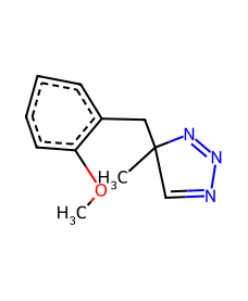 COc1ccccc1CC1(C)C=NN=N1